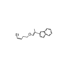 CC/C=C\CCOC=C(C)c1ccc2ccccc2c1